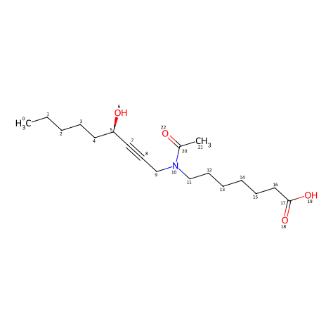 CCCCC[C@@H](O)C#CCN(CCCCCCC(=O)O)C(C)=O